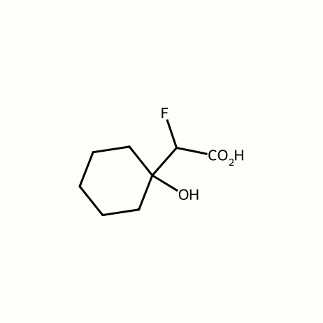 O=C(O)C(F)C1(O)CCCCC1